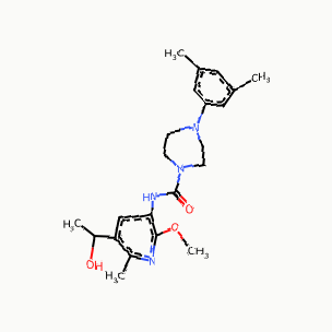 COc1nc(C)c(C(C)O)cc1NC(=O)N1CCN(c2cc(C)cc(C)c2)CC1